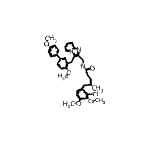 COc1ccc(-c2ccc(OC)c(Cc3c(C[N]C(=O)CCC(C)Cc4ccc(OC)c(OC)c4Cl)nc4ccccn34)c2)cc1